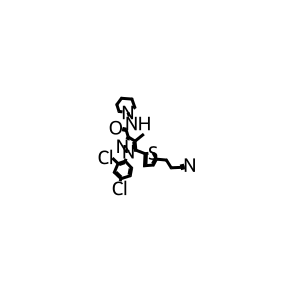 Cc1c(C(=O)NN2CCCCC2)nn(-c2ccc(Cl)cc2Cl)c1-c1ccc(CCC#N)s1